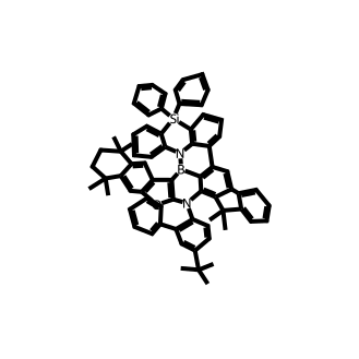 CC(C)(C)c1ccc(N2c3oc4cc5c(cc4c3B3c4c(cc6c(c42)C(C)(C)c2ccccc2-6)-c2cccc4c2N3c2ccccc2[Si]4(c2ccccc2)c2ccccc2)C(C)(C)CCC5(C)C)c(-c2ccccc2)c1